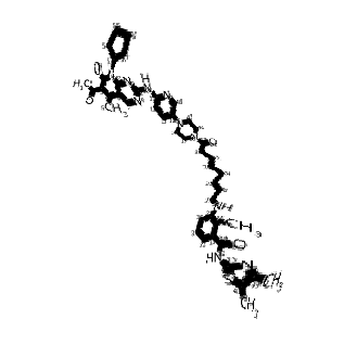 CC(=O)c1c(C)c2cnc(Nc3ccc(N4CCN(C(=O)CCCCCCCNc5cccc(C(=O)Nc6nc(C)c(C)s6)c5C)CC4)cn3)nc2n(C2CCCC2)c1=O